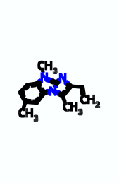 C=Cc1nc2n(C)c3ccc(C)cc3n2c1C